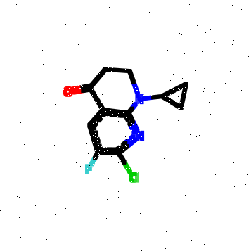 O=C1CCN(C2CC2)c2nc(Cl)c(F)cc21